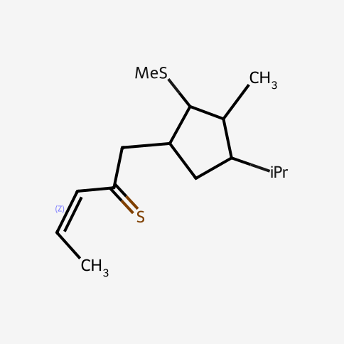 C/C=C\C(=S)CC1CC(C(C)C)C(C)C1SC